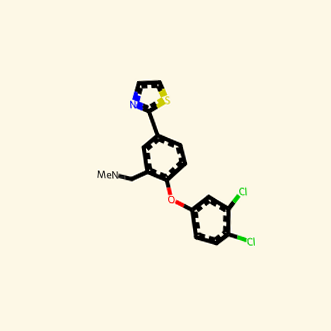 CNCc1cc(-c2nccs2)ccc1Oc1ccc(Cl)c(Cl)c1